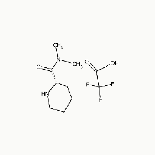 CN(C)C(=O)[C@@H]1CCCCN1.O=C(O)C(F)(F)F